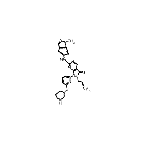 C=CCn1c(=O)c2cnc(Nc3ccc4c(cnn4C)c3)nc2n1-c1cccc(O[C@@H]2CCCNC2)n1